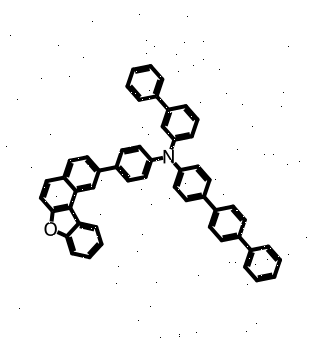 c1ccc(-c2ccc(-c3ccc(N(c4ccc(-c5ccc6ccc7oc8ccccc8c7c6c5)cc4)c4cccc(-c5ccccc5)c4)cc3)cc2)cc1